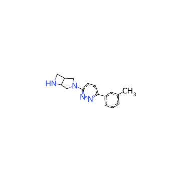 Cc1cccc(-c2ccc(N3CC4CNC4C3)nn2)c1